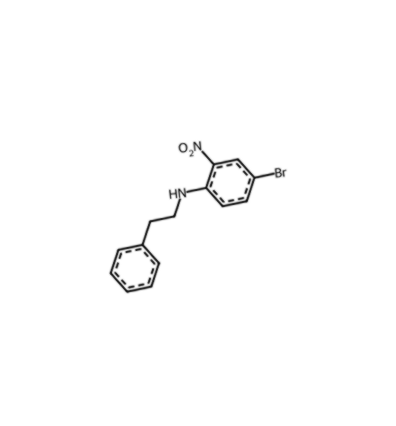 O=[N+]([O-])c1cc(Br)ccc1NCCc1ccccc1